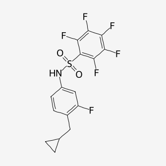 O=S(=O)(Nc1ccc(CC2CC2)c(F)c1)c1c(F)c(F)c(F)c(F)c1F